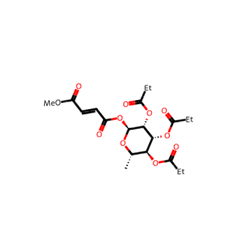 CCC(=O)O[C@@H]1[C@@H](OC(=O)CC)[C@H](C)O[C@@H](OC(=O)/C=C/C(=O)OC)[C@@H]1OC(=O)CC